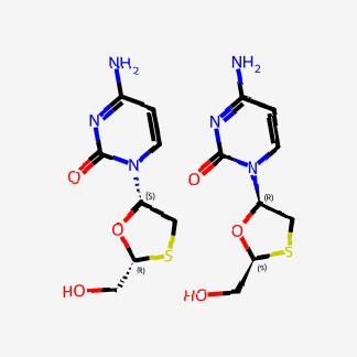 Nc1ccn([C@@H]2CS[C@H](CO)O2)c(=O)n1.Nc1ccn([C@H]2CS[C@@H](CO)O2)c(=O)n1